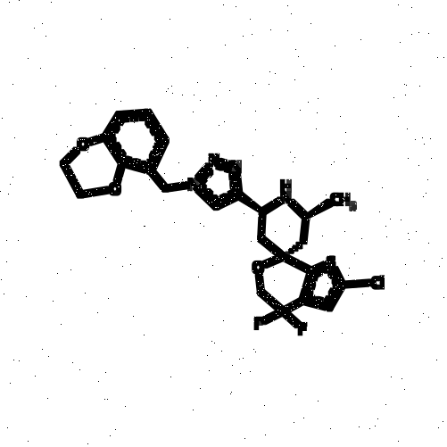 C[C@H]1C[C@@]2(C[C@@H](c3cn(Cc4cccc5c4OCCO5)nn3)N1)OCC(F)(F)c1cc(Cl)sc12